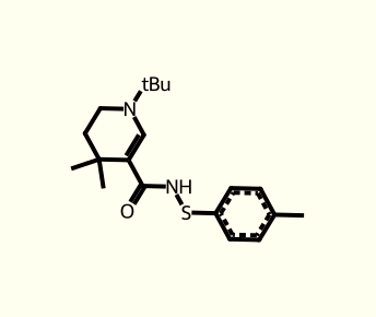 Cc1ccc(SNC(=O)C2=CN(C(C)(C)C)CCC2(C)C)cc1